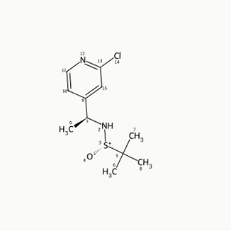 C[C@H](N[S@@+]([O-])C(C)(C)C)c1ccnc(Cl)c1